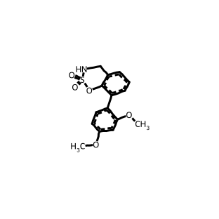 COc1ccc(-c2cccc3c2OS(=O)(=O)NC3)c(OC)c1